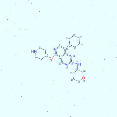 c1nc(OC2CCNCC2)c2cnc(N[C@@H]3CCCOC3)nc2c1C1CCCCC1